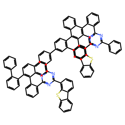 c1ccc(-c2nc(-c3ccccc3-c3c4ccccc4c(-c4ccc(-c5cccc(-c6nc(-c7ccccc7-c7c(-c8ccccc8-c8ccccc8)ccc8ccccc78)nc(-c7cccc8c7sc7ccccc78)n6)c5)cc4-c4ccccc4)c4ccccc34)nc(-c3cccc4c3sc3ccccc34)n2)cc1